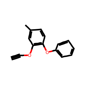 C#COc1cc(C)ccc1Oc1ccccc1